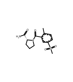 Cc1ccc(S(C)(=O)=O)cc1C(=O)N1CCC[C@@H]1C(N)=O